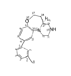 Cc1cccc(-c2ccc3c(c2)N2CCNC[C@@H]2CCO3)c1